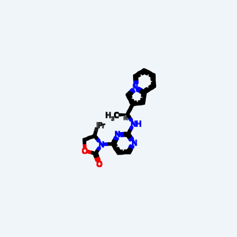 CC(C)C1COC(=O)N1c1ccnc(N[C@@H](C)c2cc3ccccn3c2)n1